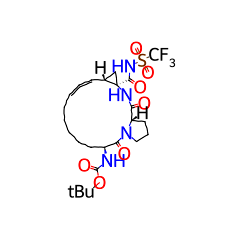 CC(C)(C)OC(=O)N[C@H]1CCCCCC=C=C[C@@H]2C[C@@]2(C(=O)NS(=O)(=O)C(F)(F)F)NC(=O)[C@@H]2CCCN2C1=O